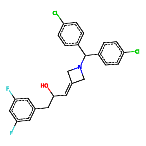 OC(C=C1CN(C(c2ccc(Cl)cc2)c2ccc(Cl)cc2)C1)Cc1cc(F)cc(F)c1